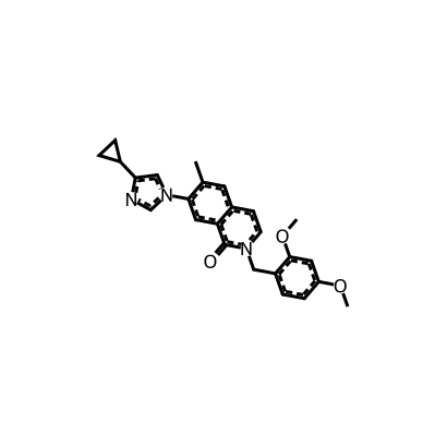 COc1ccc(Cn2ccc3cc(C)c(-n4cnc(C5CC5)c4)cc3c2=O)c(OC)c1